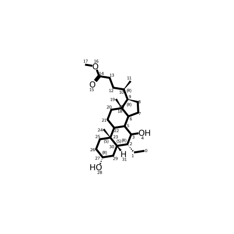 CC[C@H]1C(O)C2C3CC[C@H]([C@H](C)CCC(=O)OC)[C@@]3(C)CCC2[C@@]2(C)CC[C@@H](O)C[C@@H]12